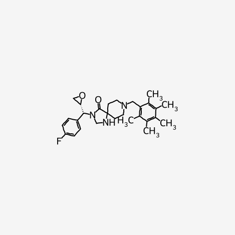 Cc1c(C)c(C)c(CN2CCC3(CC2)NCN(C(c2ccc(F)cc2)[C@@H]2CO2)C3=O)c(C)c1C